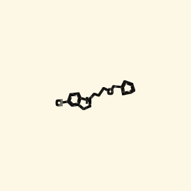 Clc1ccc2c(c1)CCN2CCCOCc1ccccc1